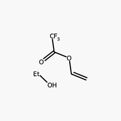 C=COC(=O)C(F)(F)F.CCO